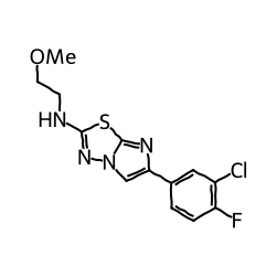 COCCNc1nn2cc(-c3ccc(F)c(Cl)c3)nc2s1